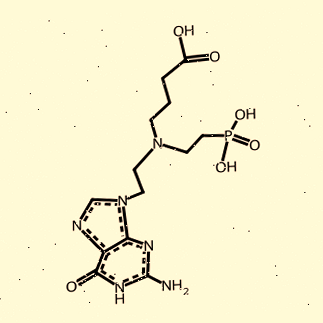 Nc1nc2c(ncn2CCN(CCCC(=O)O)CCP(=O)(O)O)c(=O)[nH]1